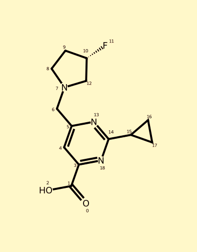 O=C(O)c1cc(CN2CC[C@H](F)C2)nc(C2CC2)n1